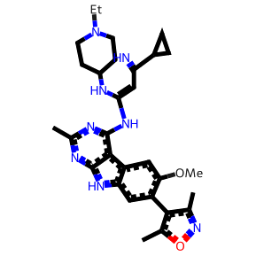 CCN1CCC(N/C(=C\C(=N)C2CC2)Nc2nc(C)nc3[nH]c4cc(-c5c(C)noc5C)c(OC)cc4c23)CC1